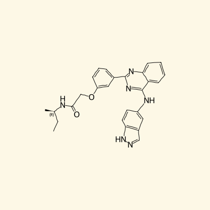 CC[C@@H](C)NC(=O)COc1cccc(-c2nc(Nc3ccc4[nH]ncc4c3)c3ccccc3n2)c1